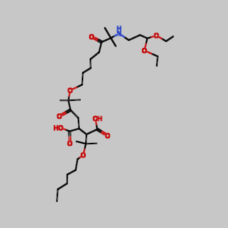 CCCCCCOC(C)(C)C(C(=O)O)C(CC(=O)C(C)(C)OCCCCCC(=O)C(C)(C)NCCC(OCC)OCC)C(=O)O